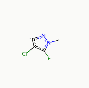 Cn1n[c]c(Cl)c1F